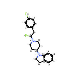 Fc1ccc(CC(F)N2CCC(N3CCc4ccccc43)CC2)cc1